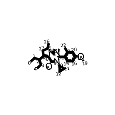 CCC(CC)C1=C2C(=O)N(C3CC3)C(c3ccc(OC)cc3C)=NN2C(C)C1